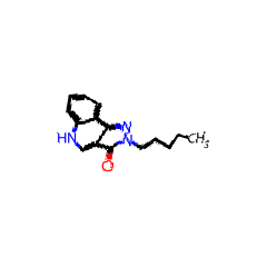 CCCCCn1nc2c3ccccc3[nH]cc-2c1=O